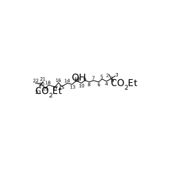 CCOC(=O)C(C)(C)CCCCCCCC(O)CCCCCCCC(C)(C)C(=O)OCC